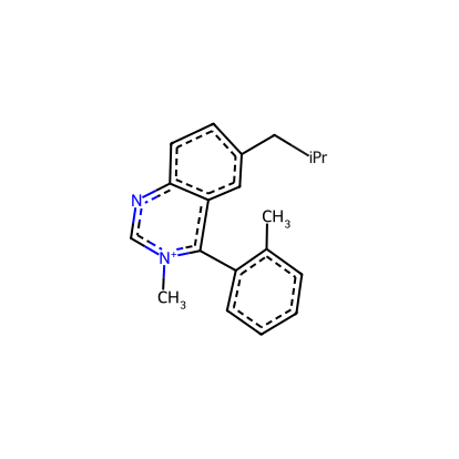 Cc1ccccc1-c1c2cc(CC(C)C)ccc2nc[n+]1C